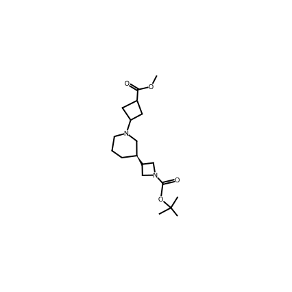 COC(=O)C1CC(N2CCC[C@H](C3CN(C(=O)OC(C)(C)C)C3)C2)C1